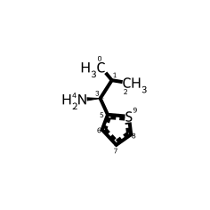 CC(C)[C@H](N)c1cccs1